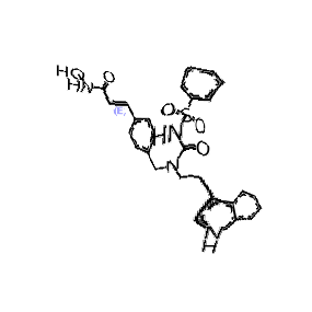 O=C(/C=C/c1ccc(CN(CCc2c[nH]c3ccccc23)C(=O)NS(=O)(=O)c2ccccc2)cc1)NO